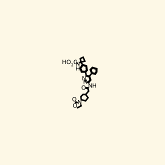 O=C(O)NC1(c2ccc(-c3nnc(NC(=O)CC4CCC(N5CCOC5=O)CC4)cc3-c3ccccc3)cc2)CCC1